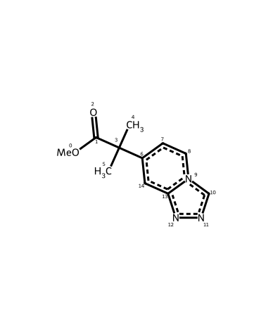 COC(=O)C(C)(C)c1ccn2cnnc2c1